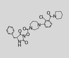 O=C(ON1C(=O)N[C@@H](Cc2ccccc2)C1=O)N1CCCN(c2cccc(C(=O)N3CCCCC3)c2Cl)CC1